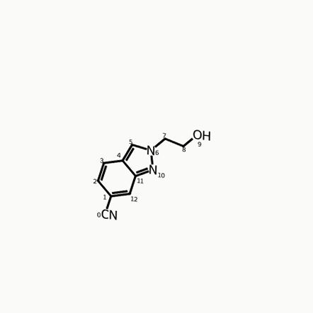 N#Cc1ccc2cn(CCO)nc2c1